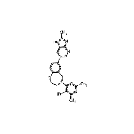 Cc1nc(C)c(C(C)C)c(N2CCOc3ccc(-c4cnc5nc(C)[nH]c5c4)cc3C2)n1